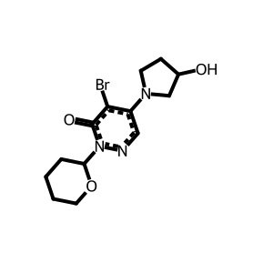 O=c1c(Br)c(N2CCC(O)C2)cnn1C1CCCCO1